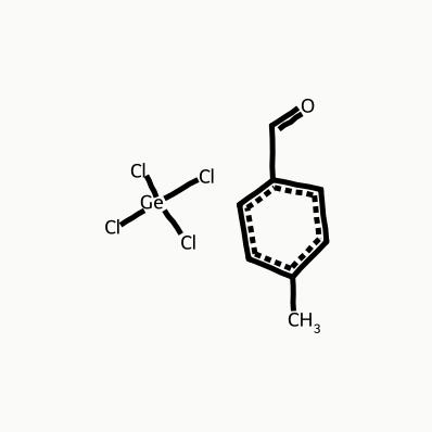 Cc1ccc(C=O)cc1.[Cl][Ge]([Cl])([Cl])[Cl]